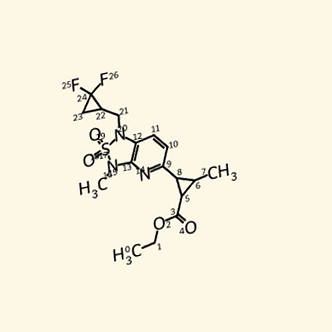 CCOC(=O)C1C(C)C1c1ccc2c(n1)N(C)S(=O)(=O)N2CC1CC1(F)F